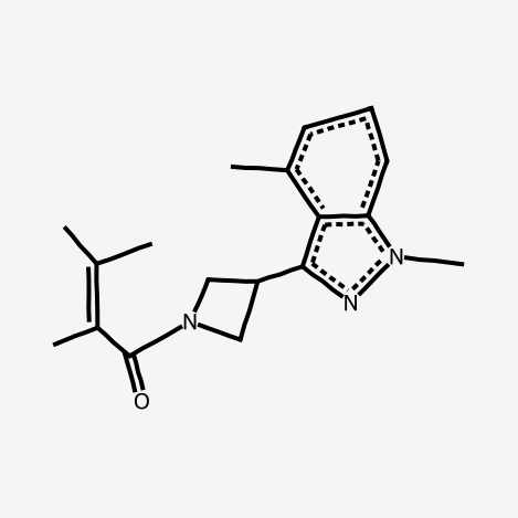 CC(C)=C(C)C(=O)N1CC(c2nn(C)c3cccc(C)c23)C1